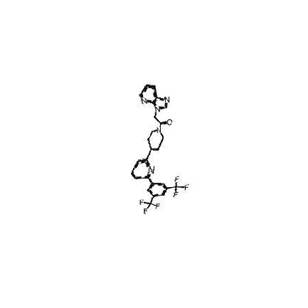 O=C(Cn1cnc2cccnc21)N1CCC(c2cccc(-c3cc(C(F)(F)F)cc(C(F)(F)F)c3)n2)CC1